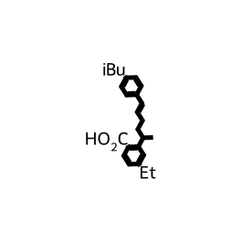 CCc1ccc(C(=O)O)c(C(C)CCC=Cc2ccc(C(C)CC)cc2)c1